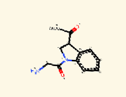 COC(=O)C1CN(C(=O)CN)c2ccccc21